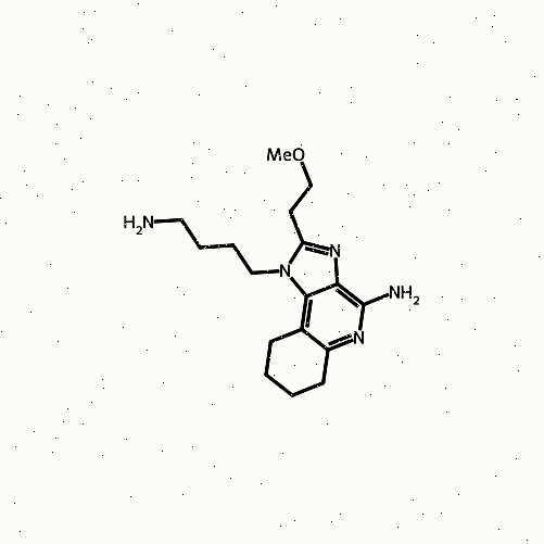 COCCc1nc2c(N)nc3c(c2n1CCCCN)CCCC3